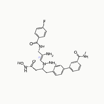 CNC(=O)c1cccc(-c2ccc(CC(CC(=O)NO)N(N)/C=C(\N)CNC(=O)c3ccc(F)cc3)cc2)c1